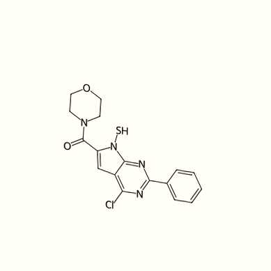 O=C(c1cc2c(Cl)nc(-c3ccccc3)nc2n1S)N1CCOCC1